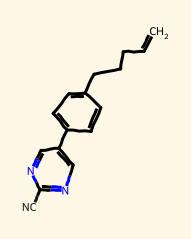 C=CCCCc1ccc(-c2cnc(C#N)nc2)cc1